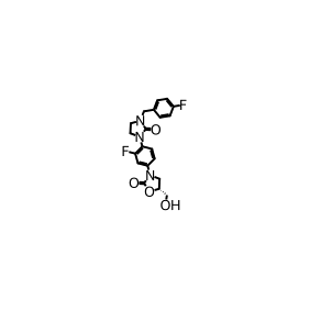 O=C1O[C@@H](CO)CN1c1ccc(N2CCN(Cc3ccc(F)cc3)C2=O)c(F)c1